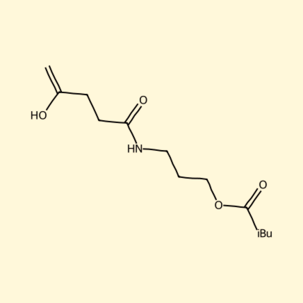 C=C(O)CCC(=O)NCCCOC(=O)C(C)CC